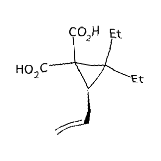 C=C[C@@H]1C(CC)(CC)C1(C(=O)O)C(=O)O